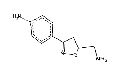 NCC1CC(c2ccc(N)cc2)=NO1